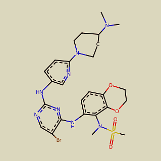 CN(C)C1CCN(c2ccc(Nc3ncc(Br)c(Nc4ccc5c(c4N(C)S(C)(=O)=O)OCCO5)n3)cn2)CC1